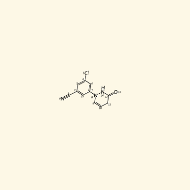 N#Cc1cc(Cl)cc(N2C=CCC(=O)N2)c1